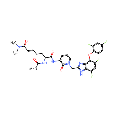 COC(=O)NC(CCC=CC(=O)N(C)C)C(=O)Nc1cccn(Cc2nc3c(Oc4ccc(F)cc4F)c(F)cc(F)c3[nH]2)c1=O